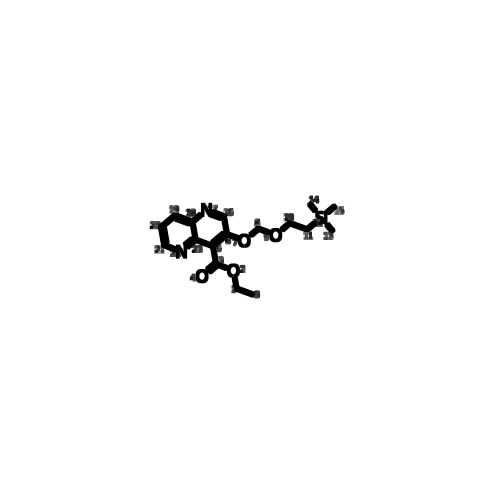 CCOC(=O)c1c(OCOCC[Si](C)(C)C)cnc2cccnc12